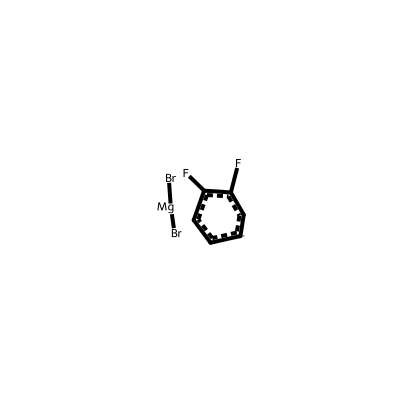 Fc1c[c]ccc1F.[Br][Mg][Br]